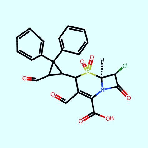 O=CC1=C(C(=O)O)N2C(=O)[C@H](Cl)[C@@H]2S(=O)(=O)C1C1C(C=O)C1(c1ccccc1)c1ccccc1